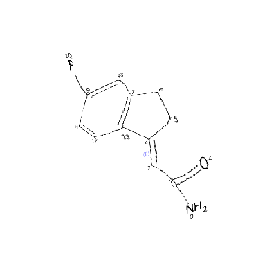 NC(=O)/C=C1\CCc2cc(F)ccc21